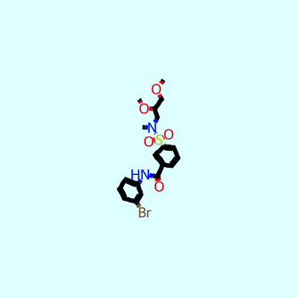 COCC(CN(C)S(=O)(=O)c1cccc(C(=O)Nc2cccc(Br)c2)c1)OC